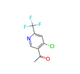 CC(=O)c1cnc(C(F)(F)F)cc1Cl